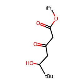 CC(C)OC(=O)CC(=O)CC(O)C(C)(C)C